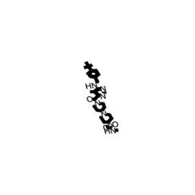 CNS(=O)(=O)C1CCN(C2CCN(C(=O)c3ncnc(NCc4ccc(C(C)(C)C)cc4)c3C)CC2)CC1